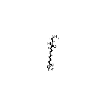 CCCOC(=O)CCCCSCCC(=O)NCCN